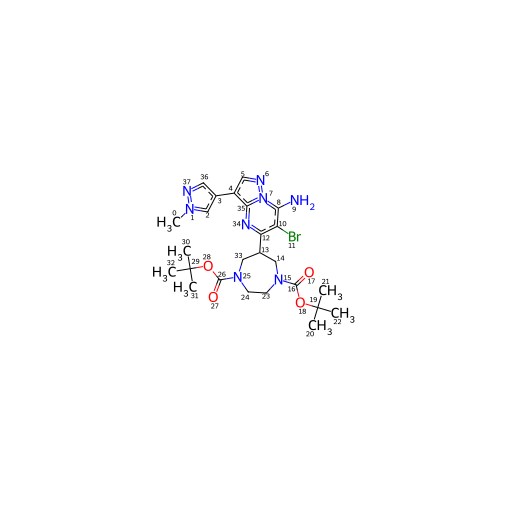 Cn1cc(-c2cnn3c(N)c(Br)c(C4CN(C(=O)OC(C)(C)C)CCN(C(=O)OC(C)(C)C)C4)nc23)cn1